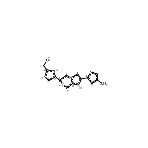 Cc1csc(-c2cn3cc(-c4csc(CO)n4)ccc3n2)c1